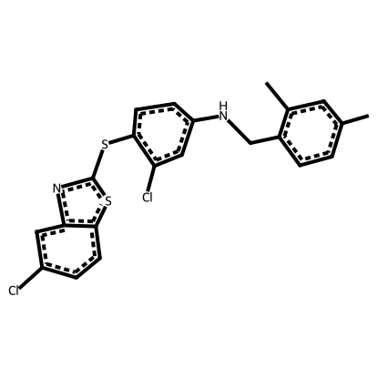 Cc1ccc(CNc2ccc(Sc3nc4cc(Cl)ccc4s3)c(Cl)c2)c(C)c1